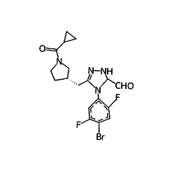 O=CC1NN=C(C[C@@H]2CCN(C(=O)C3CC3)C2)N1c1cc(F)c(Br)cc1F